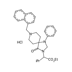 CCOC(=O)C(C(C)C)N1CN(c2ccccc2)C2(CCN(Cc3cccc4ccccc34)CC2)C1=O.Cl